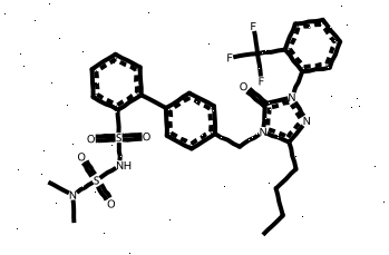 CCCCc1nn(-c2ccccc2C(F)(F)F)c(=O)n1Cc1ccc(-c2ccccc2S(=O)(=O)NS(=O)(=O)N(C)C)cc1